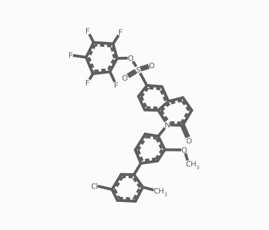 COc1cc(-c2cc(Cl)ccc2C)ccc1-n1c(=O)ccc2cc(S(=O)(=O)Oc3c(F)c(F)c(F)c(F)c3F)ccc21